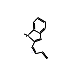 C=C/C=C\c1cc2ccccc2n1C